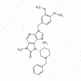 COc1ccc(Cn2cnc3c2ncc2c3n([C@H]3CN(Cc4ccccc4)CC[C@H]3C)c(=O)n2C)cc1OC